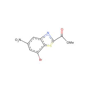 COC(=O)c1nc2cc([N+](=O)[O-])cc(Br)c2s1